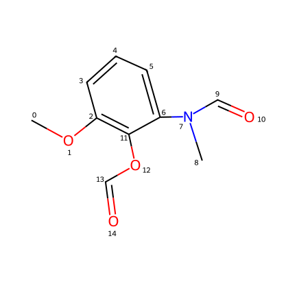 COc1cccc(N(C)C=O)c1OC=O